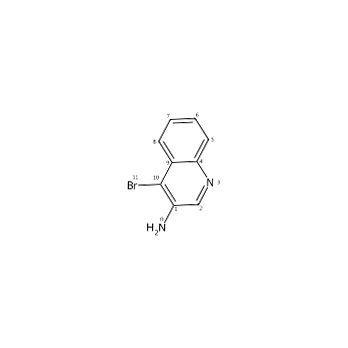 Nc1cnc2ccccc2c1Br